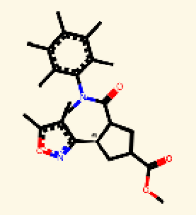 COC(=O)C1CC(C(=O)N(C)c2c(C)c(C)c(C)c(C)c2C)[C@H](c2noc(C)c2C)C1